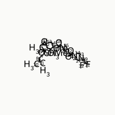 CO[C@H]1[C@H](C(C)(C)OCC=C(C)C)[C@]2(CC[C@H]1OC(=O)N1CC(OC(=O)N3CCN(CC(F)F)CC3)C1)CO2